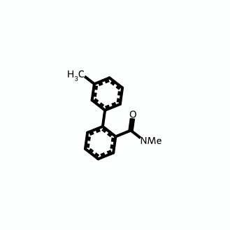 CNC(=O)c1ccccc1-c1cccc(C)c1